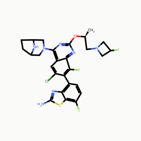 C[C@@H](CN1CC(F)C1)Oc1nc(N2CC3CCC(C2)N3)c2cc(Cl)c(-c3ccc(F)c4sc(N)nc34)c(F)c2n1